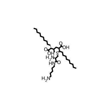 CCCCCCCCCC[C@@H](C(=O)O)C(C)CC(C(=O)O)C(CCCCCCCCC)SC[C@H](N)C(=O)NCCCCCN